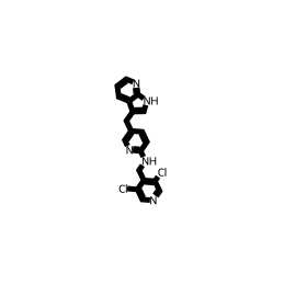 Clc1cncc(Cl)c1CNc1ccc(Cc2c[nH]c3ncccc23)cn1